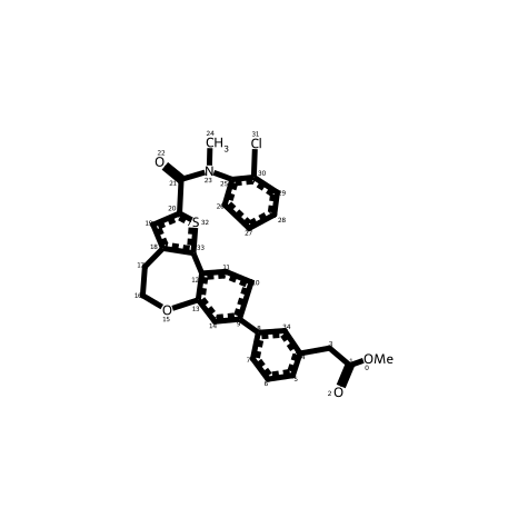 COC(=O)Cc1cccc(-c2ccc3c(c2)OCCc2cc(C(=O)N(C)c4ccccc4Cl)sc2-3)c1